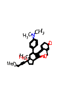 COCC#CC1(O)CCC2C3OCC4=CC(=O)CCC4=C3C(c3ccc(N(C)C)cc3)CC21C